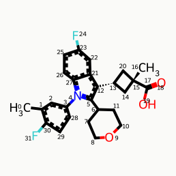 Cc1cc(-n2c(C3CCOCC3)c([C@H]3C[C@@](C)(C(=O)O)C3)c3cc(F)ccc32)ccc1F